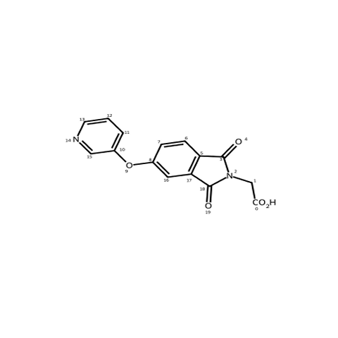 O=C(O)CN1C(=O)c2ccc(Oc3cccnc3)cc2C1=O